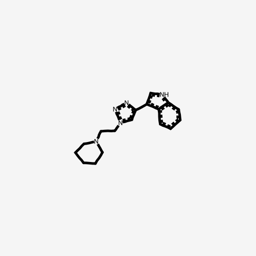 c1ccc2c(-c3cn(CCN4CCCCC4)nn3)c[nH]c2c1